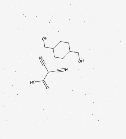 N#CC(C#N)C(=O)O.OCC1CCC(CO)CC1